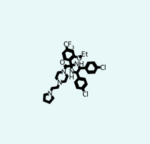 CCOc1cc(C(F)(F)F)ccc1C1(C(=O)N2CCN(CCN3CCCC3)CC2)NC(c2ccc(Cl)cc2)C(c2ccc(Cl)cc2)N1